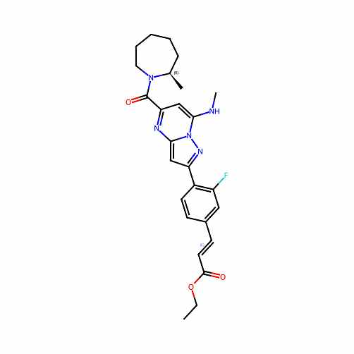 CCOC(=O)/C=C/c1ccc(-c2cc3nc(C(=O)N4CCCCC[C@H]4C)cc(NC)n3n2)c(F)c1